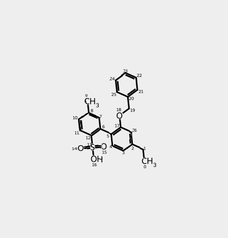 CCc1ccc(-c2cc(C)ccc2S(=O)(=O)O)c(OCc2ccccc2)c1